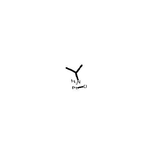 CC(C)N.[Cl][Pt]